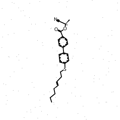 CCCCC=CCCSc1ccc(-c2ccc(C(=O)O[C@H](C)C#N)cc2)cc1